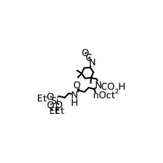 CCCCCCCCC(CCC(=O)NCCC[Si](OCC)(OCC)OCC)N(CC1(C)CC(N=C=O)CC(C)(C)C1)C(=O)O